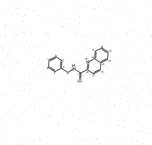 O=C(NCc1cc[c]cc1)c1ccc2ccccc2n1